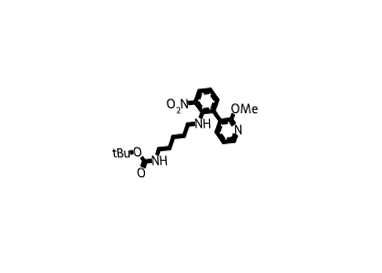 COc1ncccc1-c1cccc([N+](=O)[O-])c1NCCCCCNC(=O)OC(C)(C)C